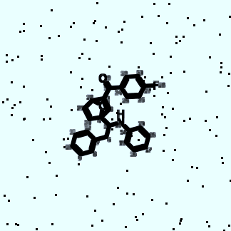 O=C(C1=CC2(C(Cc3ccccc3)Nc3ccccc3)C=CC1O2)c1ccc(F)cc1